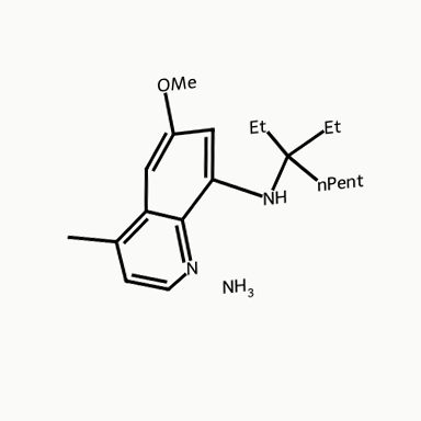 CCCCCC(CC)(CC)Nc1cc(OC)cc2c(C)ccnc12.N